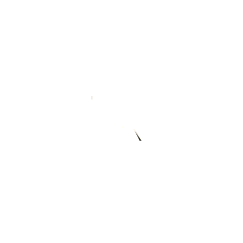 O=C1C[C@H](c2ccc(F)cc2)Oc2ccccc21